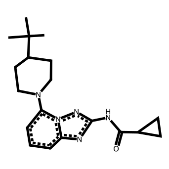 CC(C)(C)C1CCN(c2cccc3nc(NC(=O)C4CC4)nn23)CC1